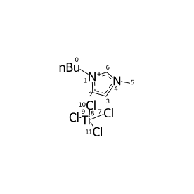 CCCC[n+]1ccn(C)c1.[Cl][Ti]([Cl])([Cl])[Cl]